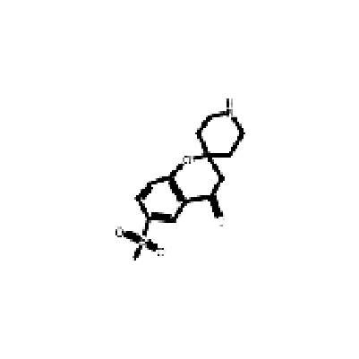 CS(=O)(=O)c1ccc2c(c1)C(=O)CC1(CCNCC1)O2